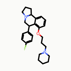 Fc1ccc(C2CN3CCCC3c3cccc(OCCCN4CCCCC4)c32)cc1